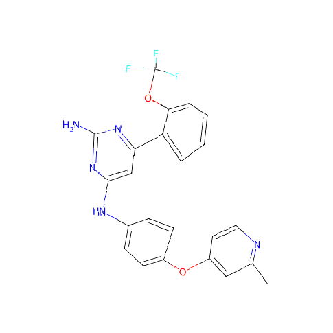 Cc1cc(Oc2ccc(Nc3cc(-c4ccccc4OC(F)(F)F)nc(N)n3)cc2)ccn1